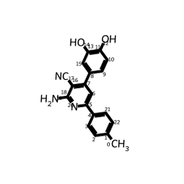 Cc1ccc(-c2cc(-c3ccc(O)c(O)c3)c(C#N)c(N)n2)cc1